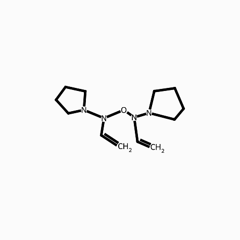 C=CN(ON(C=C)N1CCCC1)N1CCCC1